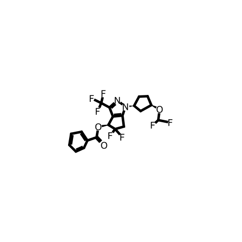 O=C(O[C@H]1c2c(C(F)(F)F)nn([C@@H]3CC[C@@H](OC(F)F)C3)c2CC1(F)F)c1ccccc1